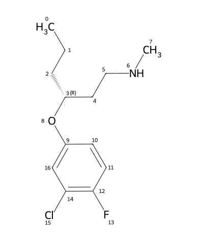 CCC[C@H](CCNC)Oc1ccc(F)c(Cl)c1